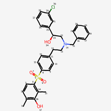 Cc1ccc(S(=O)(=O)c2ccc(CCN(Cc3ccccc3)C[C@@H](O)c3cccc(Cl)c3)cc2)c(C)c1O